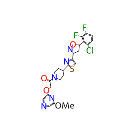 COc1cncc(OCC(=O)N2CCC(c3nc(C4=NOC(c5c(Cl)ccc(F)c5F)C4)cs3)CC2)n1